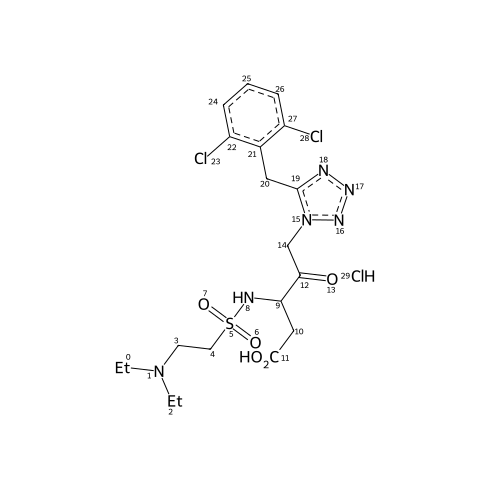 CCN(CC)CCS(=O)(=O)NC(CC(=O)O)C(=O)Cn1nnnc1Cc1c(Cl)cccc1Cl.Cl